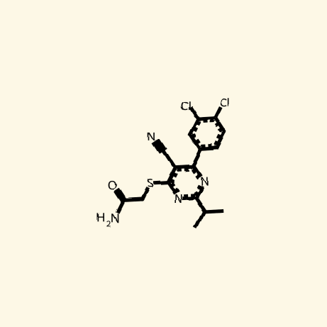 CC(C)c1nc(SCC(N)=O)c(C#N)c(-c2ccc(Cl)c(Cl)c2)n1